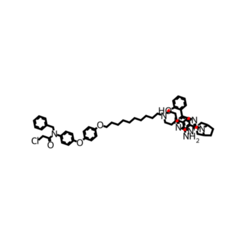 Nc1nnc(-c2ccccc2O)cc1N1CC2CCC(C1)N2c1ncc(C2CCN(CCCCCCCCCCOc3ccc(Oc4ccc(N(Cc5ccccc5)C(=O)CCl)cc4)cc3)CC2)cn1